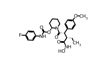 CC[C@H](C(=O)NO)[C@H](C(=O)N1CCCC[C@@H]1OC(=O)Nc1ccc(F)cc1)c1ccc(OC)cc1